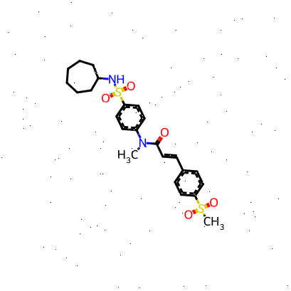 CN(C(=O)C=Cc1ccc(S(C)(=O)=O)cc1)c1ccc(S(=O)(=O)NC2CCCCCC2)cc1